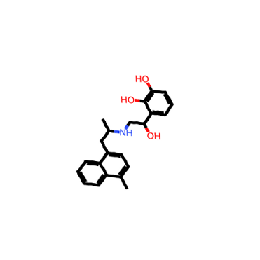 Cc1ccc(CC(C)NCC(O)c2cccc(O)c2O)c2ccccc12